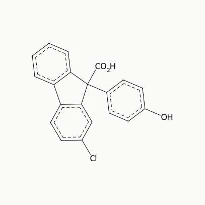 O=C(O)C1(c2ccc(O)cc2)c2ccccc2-c2ccc(Cl)cc21